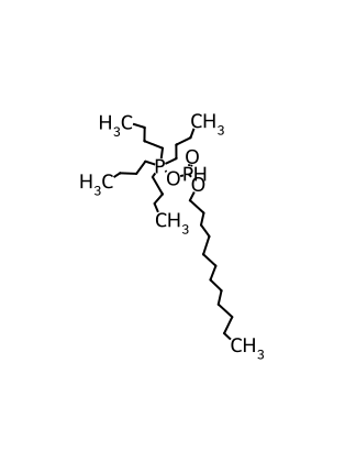 CCCCCCCCCCCCO[PH](=O)OP(CCCC)(CCCC)(CCCC)CCCC